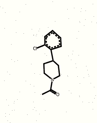 CC(=O)N1CCC(c2ccccc2Cl)CC1